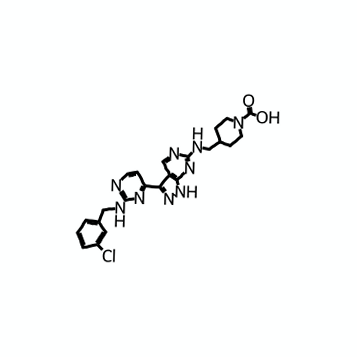 O=C(O)N1CCC(CNc2ncc3c(-c4ccnc(NCc5cccc(Cl)c5)n4)n[nH]c3n2)CC1